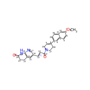 COc1ccc2cc(C3=CCN(C(=O)/C=C/c4cnc5c(c4)CCC(=O)N5)CC3)ccc2c1